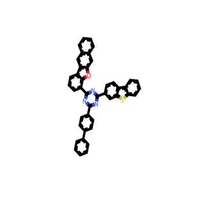 c1ccc(-c2ccc(-c3nc(-c4ccc5c(c4)sc4ccccc45)nc(-c4cccc5c4oc4cc6ccccc6cc45)n3)cc2)cc1